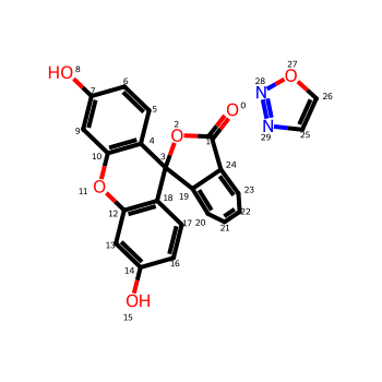 O=C1OC2(c3ccc(O)cc3Oc3cc(O)ccc32)c2ccccc21.c1conn1